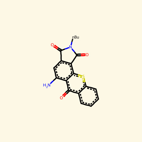 CCCCN1C(=O)c2cc(N)c3c(=O)c4ccccc4sc3c2C1=O